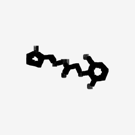 O=C(COc1c(Cl)cccc1Cl)N/N=C/c1ccc[nH]1